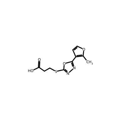 Cc1occc1-c1nnc(SCCC(=O)O)o1